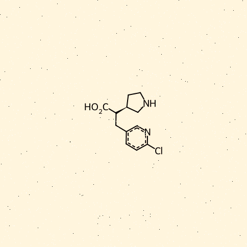 O=C(O)C(Cc1ccc(Cl)nc1)[C@H]1CCNC1